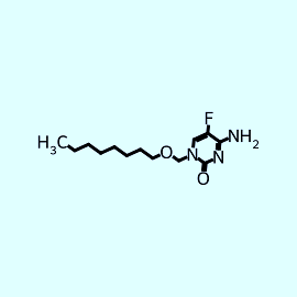 CCCCCCCCOCn1cc(F)c(N)nc1=O